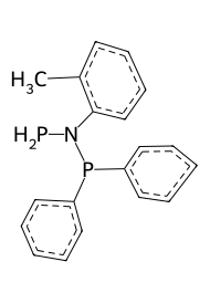 Cc1ccccc1N(P)P(c1ccccc1)c1ccccc1